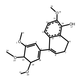 COC1=CC(C2=CCCc3c2ccc(OC)c3O)=CC(OC)C1OC